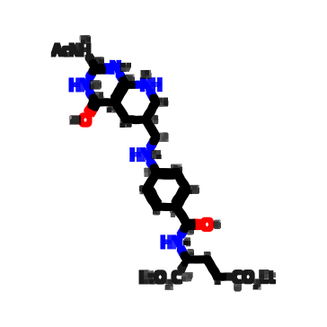 CCOC(=O)CC[C@H](NC(=O)c1ccc(NCC2CNc3nc(NC(C)=O)[nH]c(=O)c3C2)cc1)C(=O)OCC